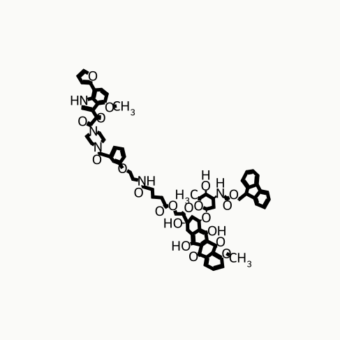 COc1cccc2c1C(=O)c1c(O)c3c(c(O)c1C2=O)C[C@@](O)(C(=O)COC(=O)CCCC(=O)NCCOc1cccc(C(=O)N2CCN(C(=O)C(=O)c4c[nH]c5c(-c6ccco6)ccc(OC)c45)CC2)c1)C[C@@H]3O[C@H]1C[C@H](NC(=O)OCC2c3ccccc3-c3ccccc32)[C@H](O)[C@H](C)O1